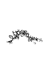 CNCCN(C)c1ccc(S(=O)(=O)Oc2ccc3[nH]c(NC(=O)C4CC4)nc3c2)cc1